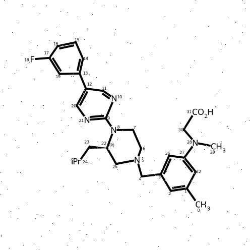 Cc1cc(CN2CCN(c3ncc(-c4cccc(F)c4)cn3)[C@H](CC(C)C)C2)cc(N(C)CC(=O)O)c1